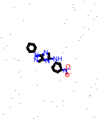 O=[N+]([O-])c1cccc(Nc2cnc3c(cnn3-c3ccccc3)n2)c1